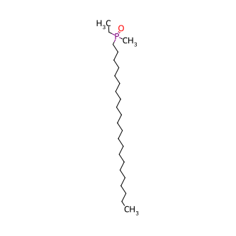 CCCCCCCCCCCCCCCCCCCCCCP(C)(=O)CC